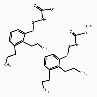 CCCc1cccc(SSNC(=O)[O-])c1CCC.CCCc1cccc(SSNC(=O)[O-])c1CCC.[Zn+2]